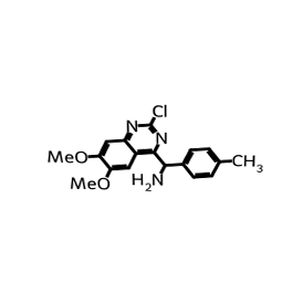 COc1cc2nc(Cl)nc(C(N)c3ccc(C)cc3)c2cc1OC